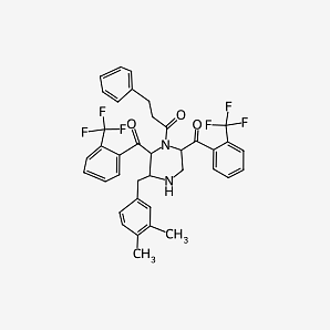 Cc1ccc(CC2NCC(C(=O)c3ccccc3C(F)(F)F)N(C(=O)CCc3ccccc3)C2C(=O)c2ccccc2C(F)(F)F)cc1C